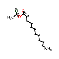 CCCCCCCCCCCC(=O)OC(C)Cl